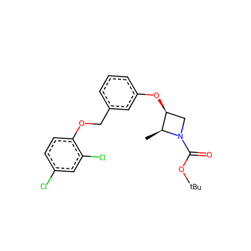 C[C@H]1[C@@H](Oc2cccc(COc3ccc(Cl)cc3Cl)c2)CN1C(=O)OC(C)(C)C